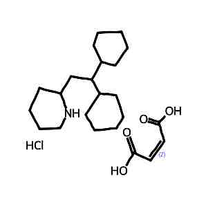 C1CCC(C(CC2CCCCN2)C2CCCCC2)CC1.Cl.O=C(O)/C=C\C(=O)O